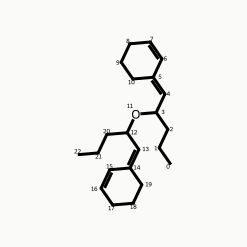 CCCC(C=C1C=CCCC1)OC(C=C1C=CCCC1)CCC